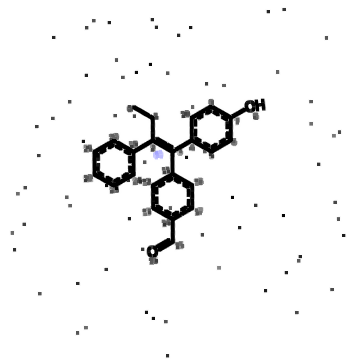 CC/C(=C(\c1ccc(O)cc1)c1ccc(C=O)cc1)c1ccccc1